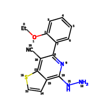 CCOc1ccccc1-c1nc(NN)c2ccsc2c1C#N